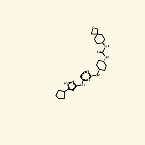 O=C(NC1CCC2(CC1)COC2)N[C@H]1CC[C@H](Nc2nccc(Nc3cc(C4CCCC4)[nH]n3)n2)CC1